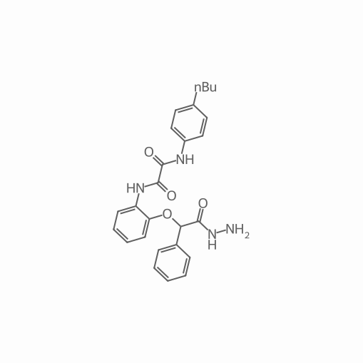 CCCCc1ccc(NC(=O)C(=O)Nc2ccccc2OC(C(=O)NN)c2ccccc2)cc1